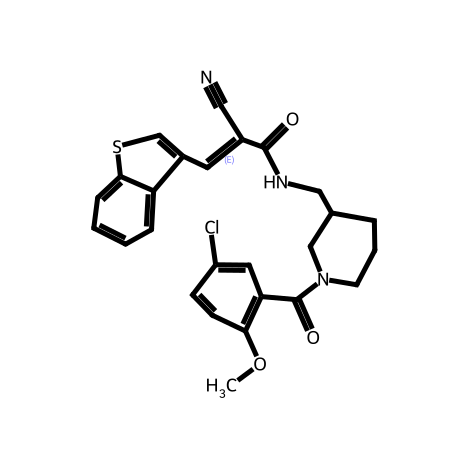 COc1ccc(Cl)cc1C(=O)N1CCCC(CNC(=O)/C(C#N)=C/c2csc3ccccc23)C1